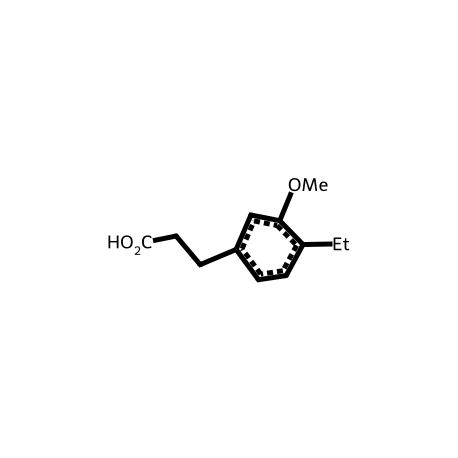 CCc1ccc(CCC(=O)O)cc1OC